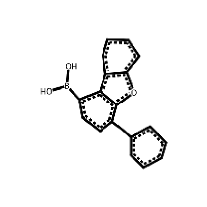 OB(O)c1ccc(-c2ccccc2)c2oc3ccccc3c12